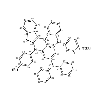 CC(C)(C)c1ccc(N2c3ccccc3B3c4c2cc(N(c2ccccc2)c2ccccc2)cc4N(c2ccc(C(C)(C)C)cc2)c2sc4ccccc4c23)cc1